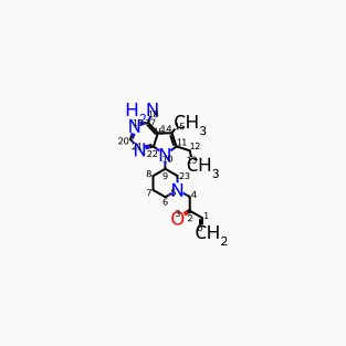 C=CC(=O)CN1CCCC(n2c(CC)c(C)c3c(N)ncnc32)C1